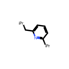 CC(C)Cc1cccc(C(C)C)n1